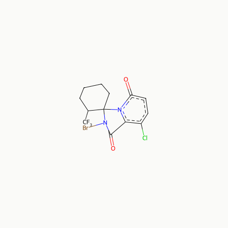 O=C1c2c(Cl)ccc(=O)n2C2(CCCCC2C(F)(F)F)N1Br